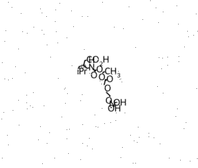 CC(C)C[C@H](CNC(=O)OC(C)OC(=O)COCCON(O)O)CC(=O)O